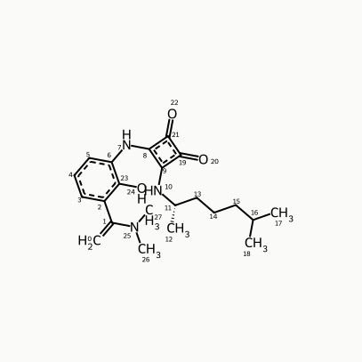 C=C(c1cccc(Nc2c(N[C@@H](C)CCCC(C)C)c(=O)c2=O)c1O)N(C)C